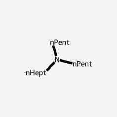 CCCCCC[CH]N(CCCCC)CCCCC